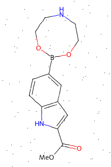 COC(=O)c1cc2cc(B3OCCNCCO3)ccc2[nH]1